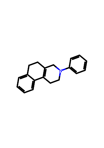 c1ccc(N2CCC3=C(CCc4ccccc43)C2)cc1